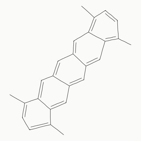 Cc1ccc(C)c2cc3cc4cc5c(C)ccc(C)c5cc4cc3cc12